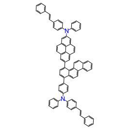 C(=Cc1ccc(N(c2ccccc2)c2ccc(-c3ccc(-c4cc5ccc6cc(N(c7ccccc7)c7ccc(C=Cc8ccccc8)cc7)cc7ccc(c4)c5c67)c4c3ccc3c5ccccc5ccc34)cc2)cc1)c1ccccc1